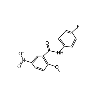 COc1ccc([N+](=O)[O-])cc1C(=O)Nc1ccc(F)cc1